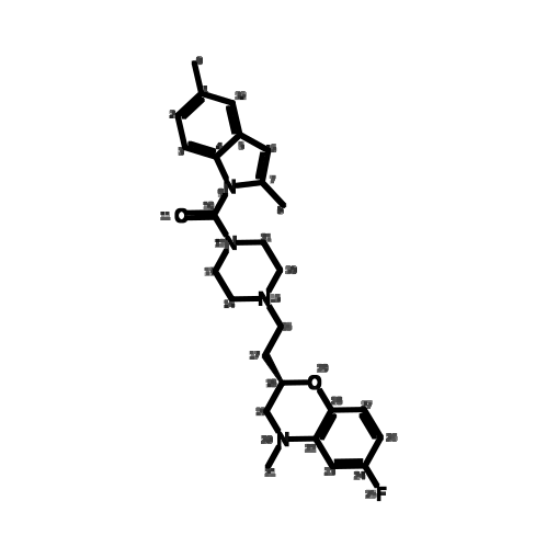 Cc1ccc2c([c]c(C)n2C(=O)N2CCN(CC[C@@H]3CN(C)c4cc(F)ccc4O3)CC2)c1